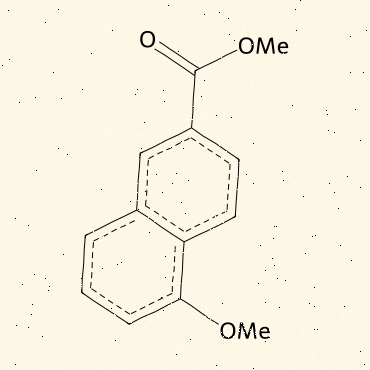 COC(=O)c1ccc2c(OC)cccc2c1